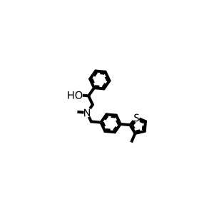 Cc1ccsc1-c1ccc(CN(C)CC(O)c2ccccc2)cc1